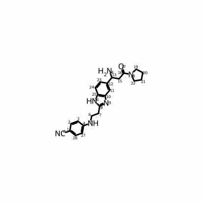 N#Cc1ccc(NCCc2nc3cc(C(N)CC(=O)N4CCCC4)ccc3[nH]2)cc1